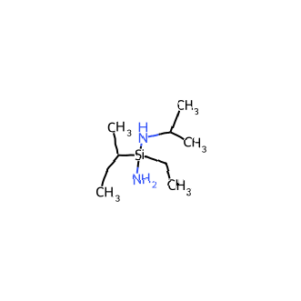 CCC(C)[Si](N)(CC)NC(C)C